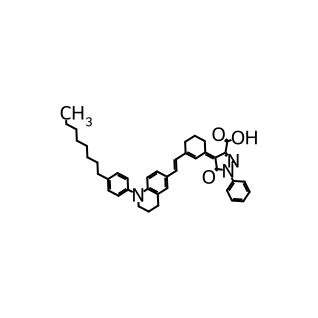 CCCCCCCCc1ccc(N2CCCc3cc(/C=C/C4=CC(=C5\C(=O)N(c6ccccc6)N=C5C(=O)O)/CCC4)ccc32)cc1